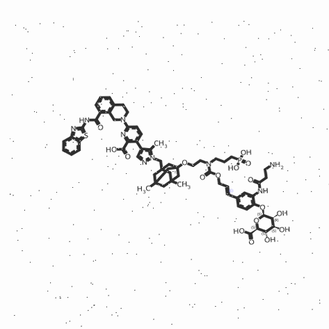 Cc1c(-c2ccc(N3CCc4cccc(C(=O)Nc5nc6ccccc6s5)c4C3)nc2C(=O)O)cnn1CC12CC3(C)CC(C)(C1)CC(OCCN(CCCP(=O)(O)O)C(=O)OC/C=C/c1ccc(O[C@@H]4O[C@H](C(=O)O)[C@@H](O)[C@H](O)[C@H]4O)c(NC(=O)CCN)c1)(C3)C2